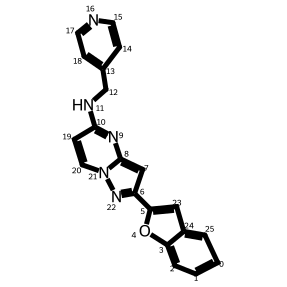 c1ccc2oc(-c3cc4nc(NCc5ccncc5)ccn4n3)cc2c1